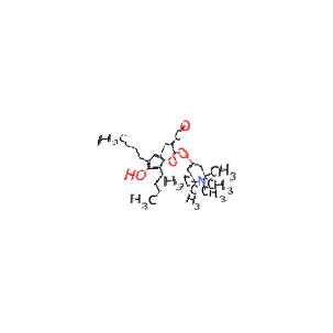 CCCCc1cc(CC(=C=O)C(=O)OC2CC(C)(C)N(C)C(C)(C)C2)cc(CCCC)c1O